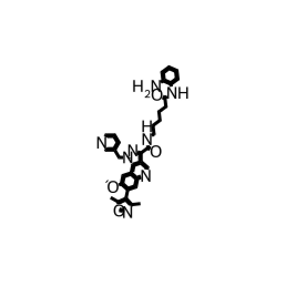 COc1cc2c(cc1-c1c(C)noc1C)ncc1c(C(=O)NCCCCCC(=O)Nc3ccccc3N)nn(Cc3cccnc3)c12